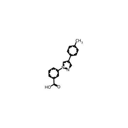 Cc1ccc(-c2cnn(-c3cccc(C(=O)O)c3)c2)cc1